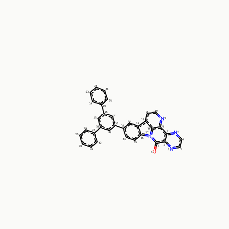 O=c1c2nccnc2c2nccc3c4cc(-c5cc(-c6ccccc6)cc(-c6ccccc6)c5)ccc4n1c32